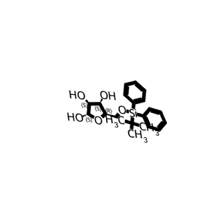 CC(C)(C)[Si](OC[C@H]1O[C@H](O)[C@@H](O)[C@@H]1O)(c1ccccc1)c1ccccc1